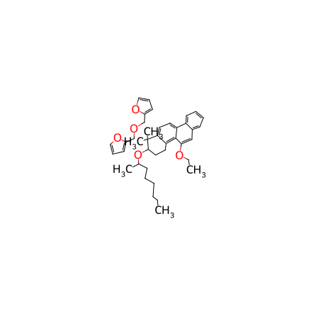 CCCCCCC(C)OC1CCc2c(ccc3c2c(OCC)cc2ccccc23)C1(C)C.c1coc(COCc2ccco2)c1